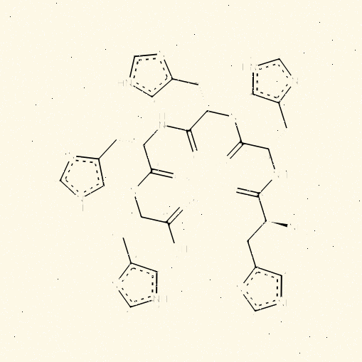 N[C@@H](Cc1c[nH]cn1)C(=O)N[C@@H](Cc1c[nH]cn1)C(=O)N[C@@H](Cc1c[nH]cn1)C(=O)N[C@@H](Cc1c[nH]cn1)C(=O)N[C@@H](Cc1c[nH]cn1)C(=O)O